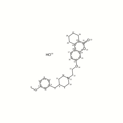 COc1cccc(CC2CCN(CCOc3ccc4c5c(c(=O)oc4c3)CCCC5)CC2)c1.Cl